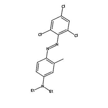 CCN(CC)c1ccc(N=Nc2c(Cl)cc(Cl)cc2Cl)c(C)c1